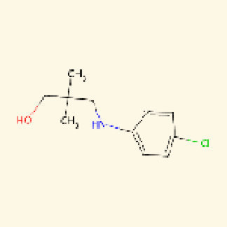 CC(C)(CO)CNc1[c]cc(Cl)cc1